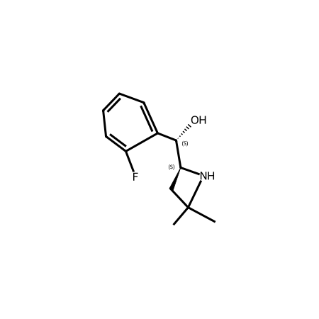 CC1(C)C[C@@H]([C@@H](O)c2ccccc2F)N1